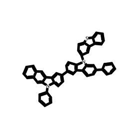 c1ccc(-c2ccc3c4cc(-c5ccc6c(c5)c5cc7ccccc7cc5n6-c5ccccc5)ccc4n(-c4ccc5sc6ccccc6c5c4)c3c2)cc1